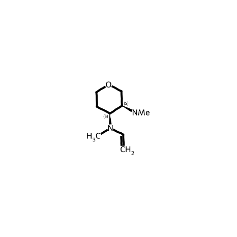 C=CN(C)[C@H]1CCOC[C@H]1NC